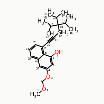 COCOc1cc(O)c2c(C#C[SiH2]C(C(C)C)(C(C)C)C(C)C)cccc2c1